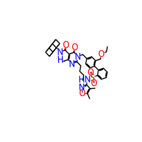 CCCCc1nc(C)c(C(=O)NC23C4C5C6C4C2C6C53)c(=O)n1Cc1ccc(-c2ccccc2S(=O)(=O)Nc2noc(C)c2C)c(COCC)c1